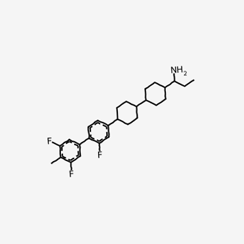 CCC(N)C1CCC(C2CCC(c3ccc(-c4cc(F)c(C)c(F)c4)c(F)c3)CC2)CC1